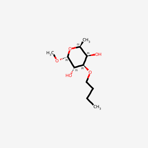 CCCCO[C@H]1[C@H](O)[C@H](OC)O[C@@H](C)[C@H]1O